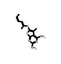 C/C=C\C=C(/C)Sc1sc2nc(N)nc(N)c2c1C